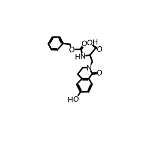 O=C(NC(CN1CCc2cc(O)ccc2C1=O)C(=O)O)OCc1ccccc1